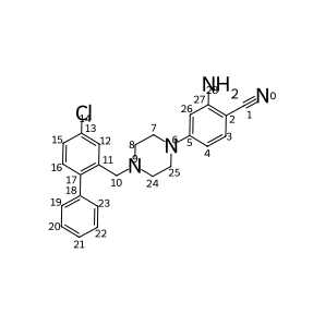 N#Cc1ccc(N2CCN(Cc3cc(Cl)ccc3-c3ccccc3)CC2)cc1N